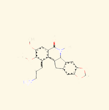 COc1cc2c(c(=CCCN)c1OC)=C1Cc3cc4c(cc3C1N(C)C2=O)OCO4